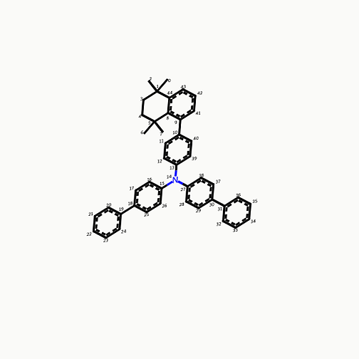 CC1(C)CCC(C)(C)c2c(-c3ccc(N(c4ccc(-c5ccccc5)cc4)c4ccc(-c5ccccc5)cc4)cc3)cccc21